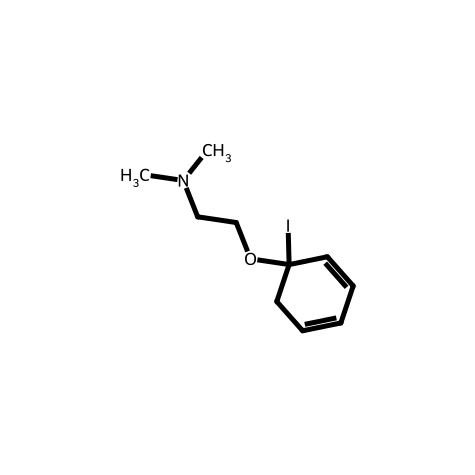 CN(C)CCOC1(I)C=CC=CC1